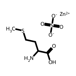 CSCCC(N)C(=O)O.O=S(=O)([O-])[O-].[Zn+2]